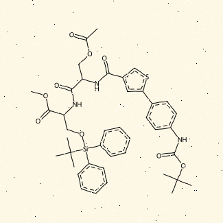 COC(=O)C(CO[Si](c1ccccc1)(c1ccccc1)C(C)(C)C)NC(=O)C(COC(C)=O)NC(=O)c1csc(-c2ccc(NC(=O)OC(C)(C)C)cc2)c1